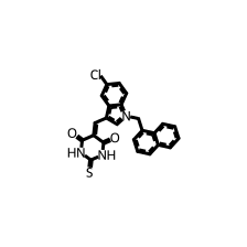 O=C1NC(=S)NC(=O)C1=Cc1cn(Cc2cccc3ccccc23)c2ccc(Cl)cc12